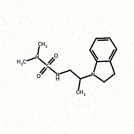 CC(CNS(=O)(=O)N(C)C)N1CCc2ccccc21